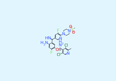 Cc1ncc(Cl)c([C@@H](N)Oc2cc(C(=N)c3cnc(N4CCN(S(C)(=O)=O)CC4)c(F)c3)c(N)cc2F)c1Cl